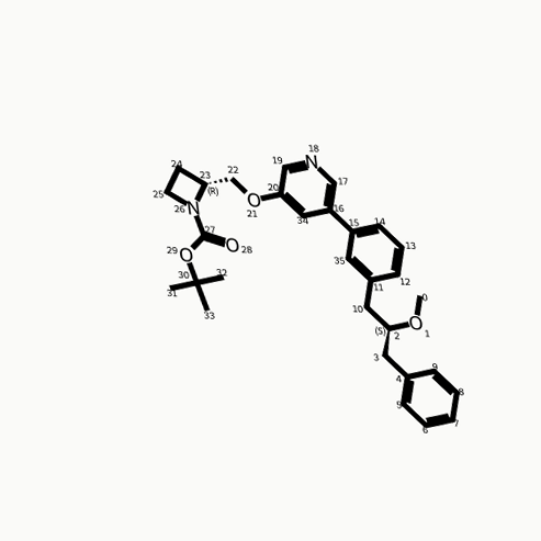 CO[C@@H](Cc1ccccc1)Cc1cccc(-c2cncc(OC[C@H]3CCN3C(=O)OC(C)(C)C)c2)c1